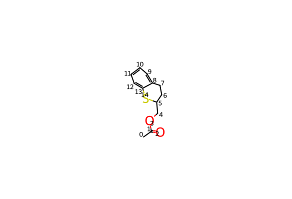 CC(=O)OCC1CCc2ccccc2S1